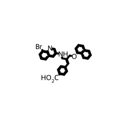 O=C(O)c1ccc(/C=C(\CNc2cnc3c(Br)cccc3c2)COc2cccc3ccccc23)cc1